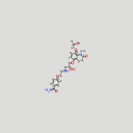 CCN1C(=O)CCc2c(OCC(O)CNCCOc3ccc(C(N)=O)cc3)ccc(OCC(C)=O)c21